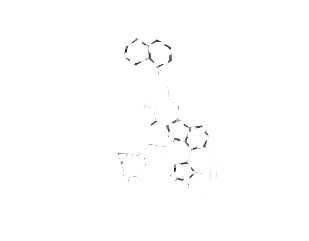 Cc1nn(C)c(C)c1-c1c(Cl)ccc2c(CCCOc3cccc4ccccc34)c(C(=O)OC(C)(C)C)n(CCN3CCNC4CC43)c12.Cl